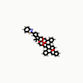 CC1(C)c2cc(-c3ccc4c(-c5ccccc5-c5ccc6ccccc6c5)c5ccccc5c(-c5ccccc5-c5ccc6ccccc6c5)c4c3)ccc2-c2ccc(-c3nc4ccccc4s3)cc21